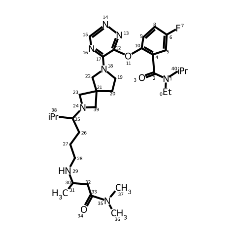 CCN(C(=O)c1cc(F)ccc1Oc1nncnc1N1CCC2(C1)CN(C(CCCNC(C)CC(=O)N(C)C)C(C)C)C2)C(C)C